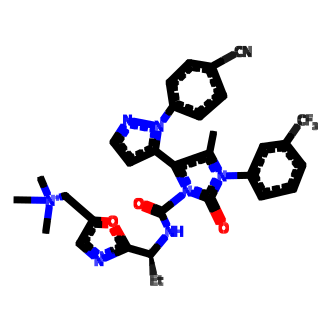 CC[C@H](NC(=O)n1c(-c2ccnn2-c2ccc(C#N)cc2)c(C)n(-c2cccc(C(F)(F)F)c2)c1=O)c1ncc(C[N+](C)(C)C)o1